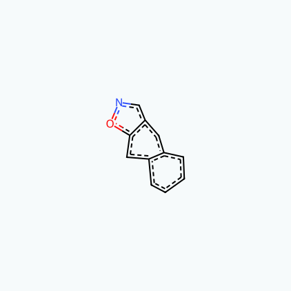 c1ccc2cc3oncc3cc2c1